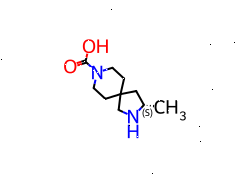 C[C@H]1CC2(CCN(C(=O)O)CC2)CN1